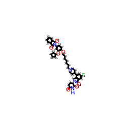 O=C1CCC(N2Cc3c(cc(F)cc3C3CCN(CCCCCCCOc4ccc(N5C(=O)c6ccccc6C5=O)cc4OC4CCCC4)CC3)C2=O)C(=O)N1